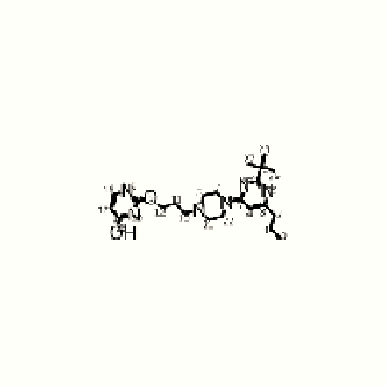 CCCc1cc(N2CCN(CCCOc3nccc(O)n3)CC2)nc(C(C)(C)C)n1